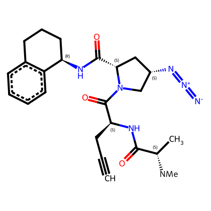 C#CC[C@H](NC(=O)[C@H](C)NC)C(=O)N1C[C@@H](N=[N+]=[N-])C[C@H]1C(=O)N[C@@H]1CCCc2ccccc21